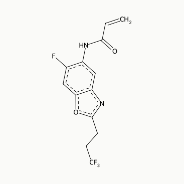 C=CC(=O)Nc1cc2nc(CCC(F)(F)F)oc2cc1F